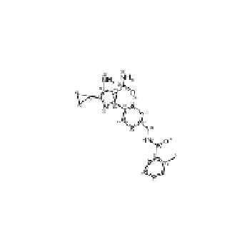 Cc1ccccc1C(=O)NCc1ccc(-c2nn(C3CC3)c(N)c2C(N)=O)cc1